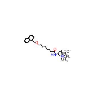 C[N+](C)(C)CC(CC(=O)[O-])NC(=O)CCCCCCCOCc1cccc2ccccc12